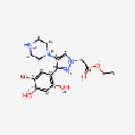 CCOC(=O)Cn1cc(N2CCNCC2)c(-c2cc(Br)c(O)cc2O)n1